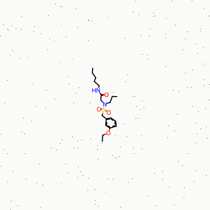 CCCCCNC(=O)CN(CCC)S(=O)(=O)Cc1cccc(OCC)c1